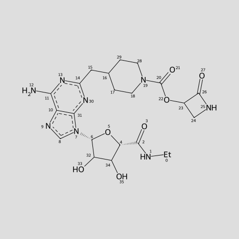 CCNC(=O)[C@H]1O[C@@H](n2cnc3c(N)nc(CC4CCN(C(=O)OC5CNC5=O)CC4)nc32)C(O)C1O